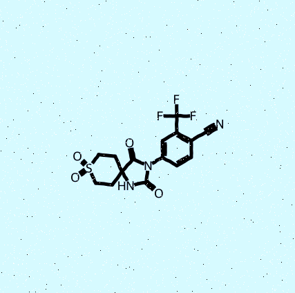 N#Cc1ccc(N2C(=O)NC3(CCS(=O)(=O)CC3)C2=O)cc1C(F)(F)F